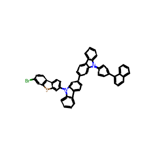 Brc1ccc2c(c1)sc1cc(-n3c4ccccc4c4ccc(-c5ccc6c7ccccc7n(-c7ccc(-c8cccc9ccccc89)cc7)c6c5)cc43)ccc12